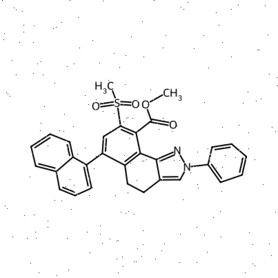 COC(=O)c1c(S(C)(=O)=O)cc(-c2cccc3ccccc23)c2c1-c1nn(-c3ccccc3)cc1CC2